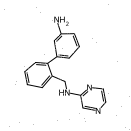 Nc1cccc(-c2ccccc2CNc2cnccn2)c1